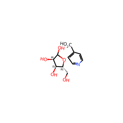 O=C(O)c1ccncc1.OC[C@H]1OC(O)[C@H](O)[C@@H]1O